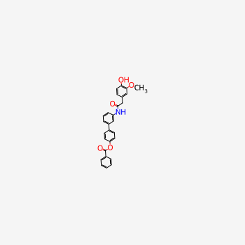 COc1cc(CC(=O)Nc2cccc(-c3ccc(OC(=O)c4ccccc4)cc3)c2)ccc1O